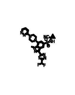 Cn1nc(-c2nnc(C(F)F)s2)c2cc(S(=O)(=O)NC3(C#N)CC3)cc(N3CCN(c4cccnn4)CC3)c21